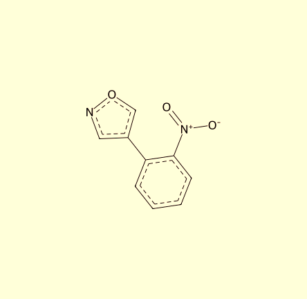 O=[N+]([O-])c1ccccc1-c1cnoc1